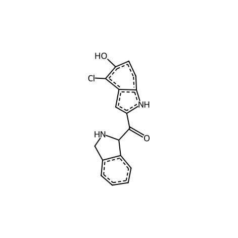 O=C(c1cc2c(Cl)c(O)ccc2[nH]1)C1NCc2ccccc21